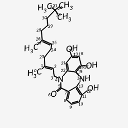 C/C(=C\CN1C(=O)c2cccc(O)c2Nc2c(O)cc(O)cc21)CC/C=C(\C)CCCC(C)(C)C